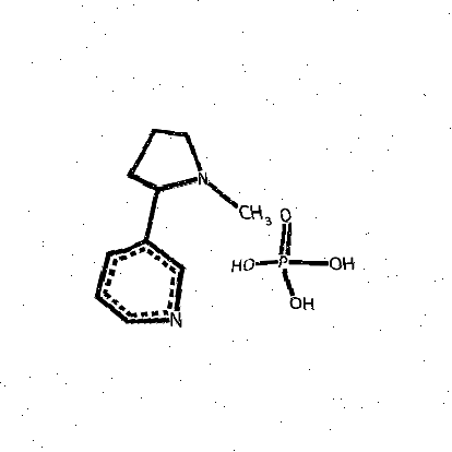 CN1CCCC1c1cccnc1.O=P(O)(O)O